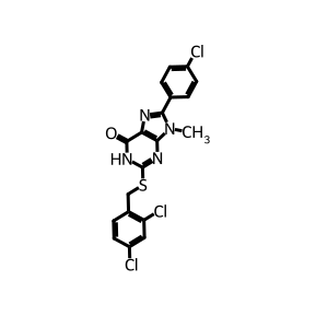 Cn1c(-c2ccc(Cl)cc2)nc2c(=O)[nH]c(SCc3ccc(Cl)cc3Cl)nc21